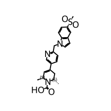 C[C@H]1C=C(c2ccc(Cn3ccc4cc(S(C)(=O)=O)ccc43)nc2)C[C@H](C)N1C(=O)O